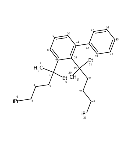 CCC(C)(CCCC(C)C)c1cccc(-c2ccccc2)c1C(C)(CC)CCCC(C)C